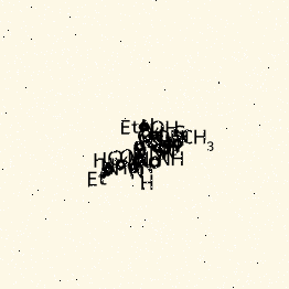 CCc1cnn([C@H]2C[C@@H](n3cnc4c(N[C@H]5CC[C@H](Nc6nc(N7CC[C@@H](N(C)C)C7)nc7c6ncn7[C@@H]6C[C@H](n7cc(CC)cn7)[C@@H](O)[C@H]6O)CC5)nc(N5CC[C@@H](N(C)C)C5)nc43)[C@H](O)[C@@H]2O)c1